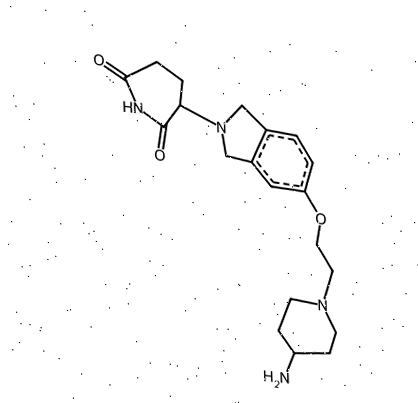 NC1CCN(CCOc2ccc3c(c2)CN(C2CCC(=O)NC2=O)C3)CC1